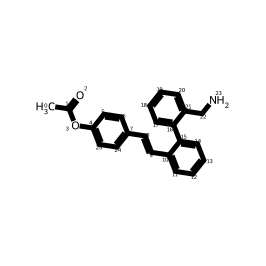 CC(=O)Oc1ccc(C=Cc2ccccc2-c2ccccc2CN)cc1